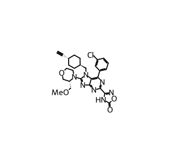 C#C[C@H]1CC[C@H](Cn2c(N3CCOC[C@H]3COC)nc3nc(-c4noc(=O)[nH]4)nc(-c4cccc(Cl)c4)c32)CC1